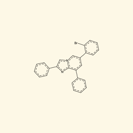 Brc1ccccc1-c1cc(-c2ccccc2)c2nc(-c3ccccc3)cn2c1